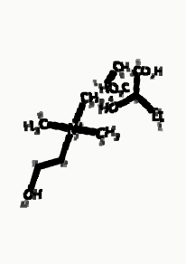 CC(=O)O.CCC(O)C(=O)O.C[N+](C)(C)CCO